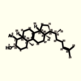 CC(=O)C1[C@@H](O)CC[C@]2(C)C3=C(CC[C@@H]12)[C@@H]1CC[C@H]([C@H](C)CCC=C(C)C)[C@@]1(C)CC3